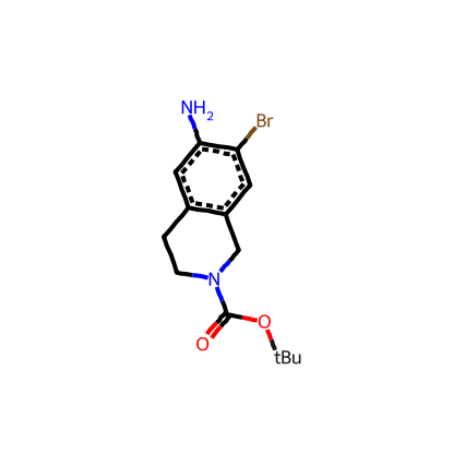 CC(C)(C)OC(=O)N1CCc2cc(N)c(Br)cc2C1